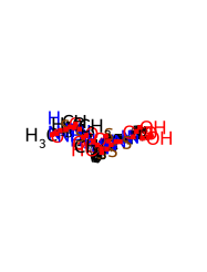 CNC(=O)C[C@H](N)c1nc(C(=O)NC(c2nc(C(=O)NCC(=O)N[C@H](c3nc(-c4nc(-c5nc(-c6nc(N(CCCCCC(=O)O)C(=O)[C@@H]7CC[C@@H](C(=O)O)C7)cs6)ccc5-c5nc(C=O)cs5)cs4)cs3)[C@@H](O)c3ccccc3)c(COC)s2)C(C)C)c(C)s1